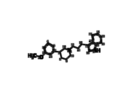 COc1cccc(C2CCCN(CCCc3c[nH]c4ccccc34)C2)c1